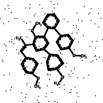 COc1ccc(/C=C(/C)c2cc(-c3ccc(OC)cc3)cc(-c3ccccc3-c3ccc(OC)cc3)c2OC)cc1